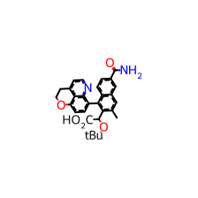 Cc1cc2cc(C(N)=O)ccc2c(-c2ccc3c4c(ccnc24)CCO3)c1C(OC(C)(C)C)C(=O)O